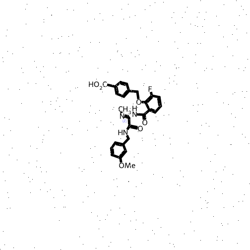 C/N=C(\NC(=O)c1cccc(F)c1OCc1ccc(C(=O)O)cc1)C(=O)NCc1cccc(OC)c1